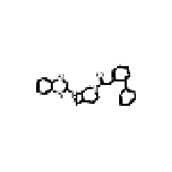 O=C(Cc1ccccc1-c1ccccc1)N1CCC2CN(c3cnc4ccccc4n3)C2C1